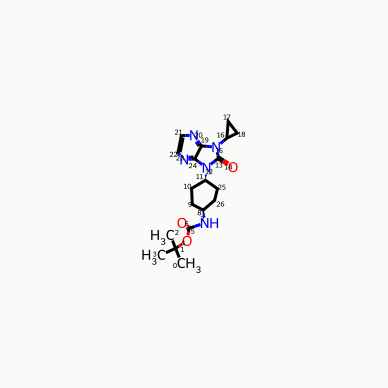 CC(C)(C)OC(=O)N[C@H]1CC[C@H](n2c(=O)n(C3CC3)c3nccnc32)CC1